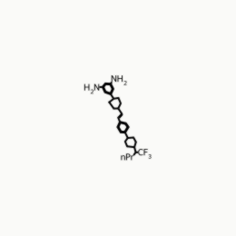 CCCC(C1CCC(c2ccc(/C=C/C3CCC(c4cc(N)cc(N)c4)CC3)cc2)CC1)C(F)(F)F